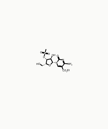 CCOC(=O)c1cn([C@@H]2O[C@H](CO)[C@H](OS(C)(=O)=O)[C@H]2O)c(=O)nc1N